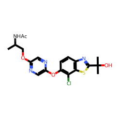 CC(=O)NC(C)COc1cnc(Oc2ccc3nc(C(C)(C)O)sc3c2Cl)cn1